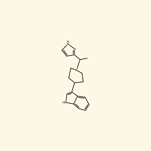 CC(c1cc[nH]n1)N1CCC(c2c[nH]c3ccccc23)CC1